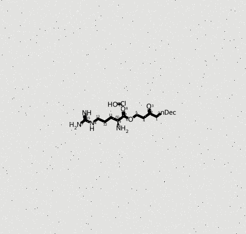 CCCCCCCCCCCC(=O)CCOC(=O)[C@@H](N)CCCNC(=N)N.OCl